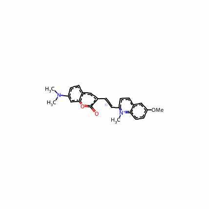 COc1ccc2c(ccc(/C=C/c3cc4ccc(N(C)C)cc4oc3=O)[n+]2C)c1